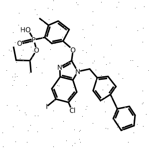 CCC(C)OP(=O)(O)c1cc(Oc2nc3cc(I)c(Cl)cc3n2Cc2ccc(-c3ccccc3)cc2)ccc1C